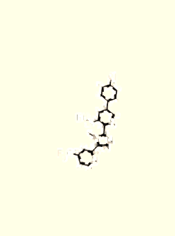 CCSc1cc(-c2ccc(Cl)cc2)cnc1-c1nnc(-c2cc(C(F)(F)F)ccn2)n1C